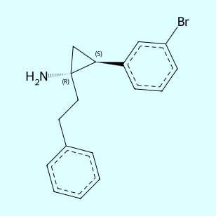 N[C@]1(CCc2ccccc2)C[C@H]1c1cccc(Br)c1